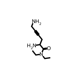 CCN(CC)C(=O)C(N)CC#CCN